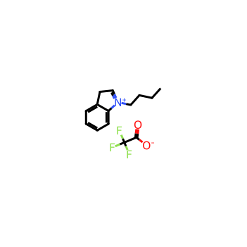 CCCC[N+]1=CCc2ccccc21.O=C([O-])C(F)(F)F